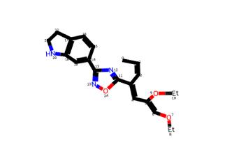 C\C=C/C(=C\C(=C\OCC)OCC)c1nc(-c2ccc3c(c2)NCC3)no1